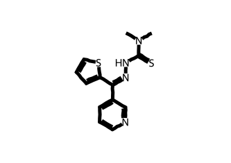 CN(C)C(=S)N/N=C(/c1cccnc1)c1cccs1